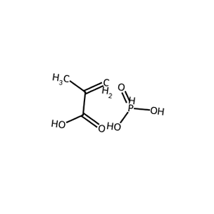 C=C(C)C(=O)O.O=[PH](O)O